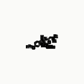 CCCOc1ccc(NC(=NCCN(CC)CC)NC(=O)OC)c([N+](=O)[O-])c1